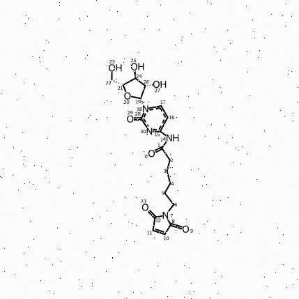 O=C(CCCCCN1C(=O)C=CC1=O)Nc1ccn([C@@H]2O[C@H](CO)[C@@H](O)[C@@H]2O)c(=O)n1